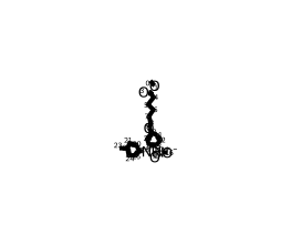 COC(=O)CCCCCOc1ccc([N+](=O)[O-])c(Nc2ccc(C)cc2)c1